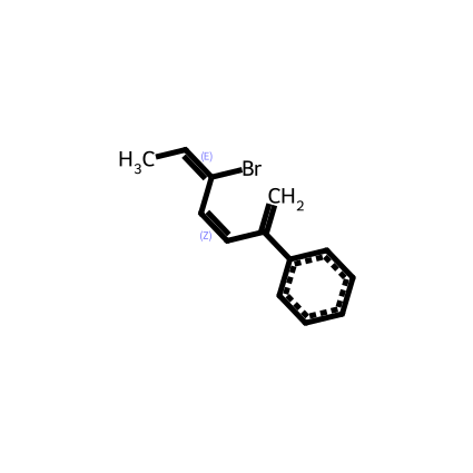 C=C(/C=C\C(Br)=C/C)c1ccccc1